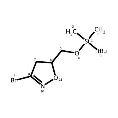 CC(C)(C)[Si](C)(C)OCC1CC(Br)=NO1